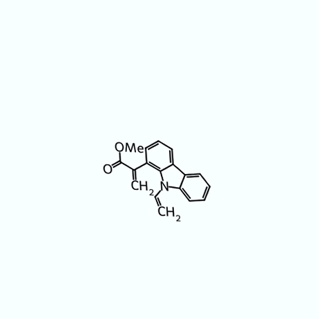 C=Cn1c2ccccc2c2cccc(C(=C)C(=O)OC)c21